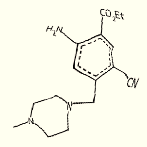 CCOC(=O)c1cc(C#N)c(CN2CCN(C)CC2)cc1N